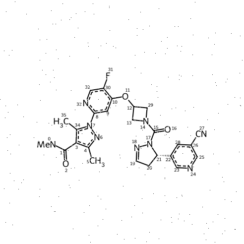 CNC(=O)c1c(C)nn(-c2cc(OC3CN(C(=O)N4N=CC[C@H]4c4cncc(C#N)c4)C3)c(F)cn2)c1C